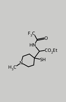 CCOC(=O)C(NC(=O)C(F)(F)F)C1(S)CCN(C)CC1